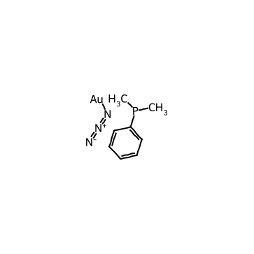 CP(C)c1ccccc1.[N-]=[N+]=[N][Au]